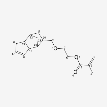 C=C(C)C(=O)OCCOCC1CC2CC1C1C=CCC21